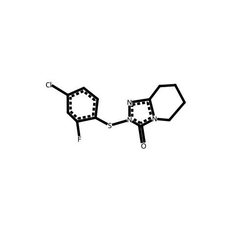 O=c1n(Sc2ccc(Cl)cc2F)nc2n1CCCC2